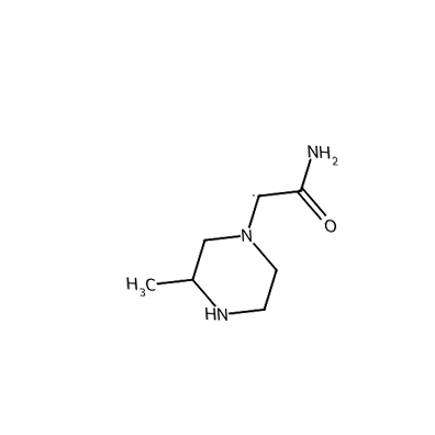 CC1CN([CH]C(N)=O)CCN1